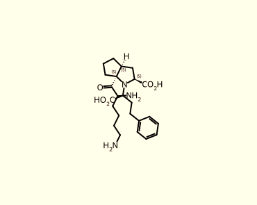 NCCCCC(N)C(=O)[C@]12CCC[C@H]1C[C@@H](C(=O)O)N2C(CCc1ccccc1)C(=O)O